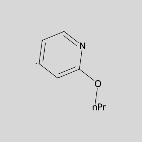 CCCOc1c[c]ccn1